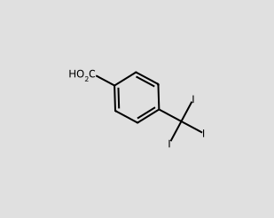 O=C(O)c1ccc(C(I)(I)I)cc1